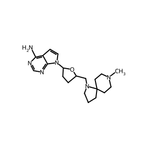 CN1CCC2(CCCN2CC2CCC(n3ccc4c(N)ncnc43)O2)CC1